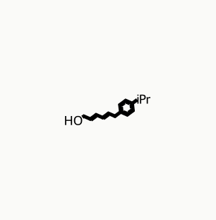 CC(C)c1ccc(C/C=C/C=C/CO)cc1